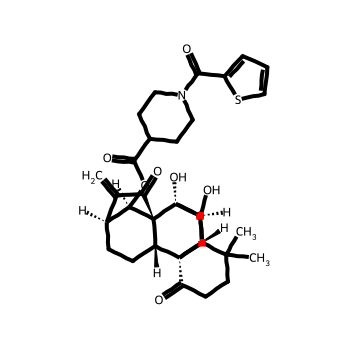 C=C1C(=O)[C@]23[C@H](OC(=O)C4CCN(C(=O)c5cccs5)CC4)[C@H]1CC[C@H]2[C@@]12CO[C@@]3(O)[C@@H](O)[C@@H]1C(C)(C)CCC2=O